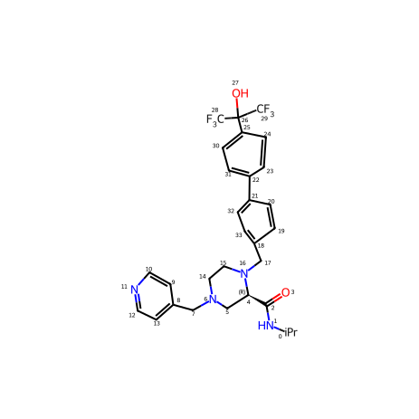 CC(C)NC(=O)[C@H]1CN(Cc2ccncc2)CCN1Cc1ccc(-c2ccc(C(O)(C(F)(F)F)C(F)(F)F)cc2)cc1